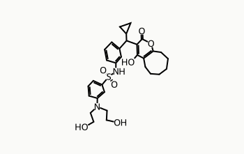 O=c1oc2c(c(O)c1C(c1cccc(NS(=O)(=O)c3cccc(N(CCO)CCO)c3)c1)C1CC1)CCCCCC2